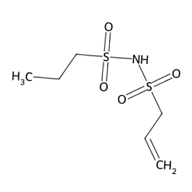 C=CCS(=O)(=O)NS(=O)(=O)CCC